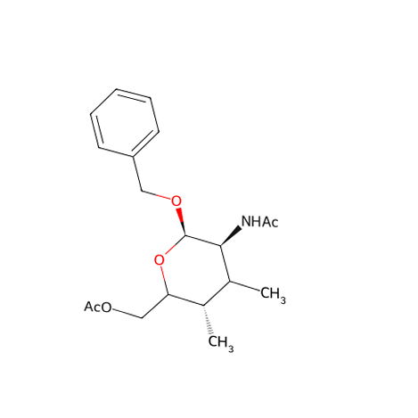 CC(=O)N[C@H]1C(C)[C@H](C)C(COC(C)=O)O[C@H]1OCc1ccccc1